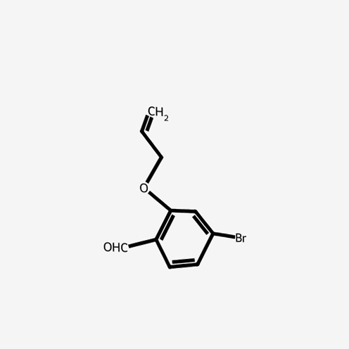 C=CCOc1cc(Br)ccc1C=O